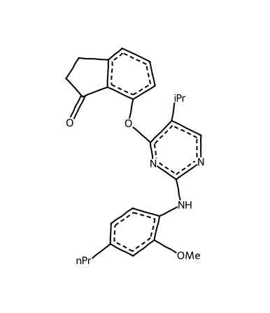 CCCc1ccc(Nc2ncc(C(C)C)c(Oc3cccc4c3C(=O)CC4)n2)c(OC)c1